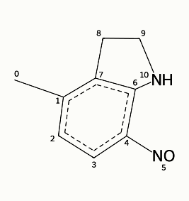 Cc1ccc(N=O)c2c1CCN2